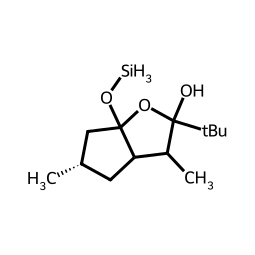 CC1C2C[C@H](C)CC2(O[SiH3])OC1(O)C(C)(C)C